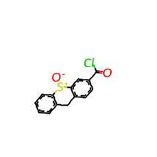 O=C(Cl)c1ccc2c(c1)[S+]([O-])c1ccccc1C2